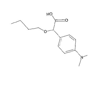 CCCCOC(C(=O)O)c1ccc(N(C)C)cc1